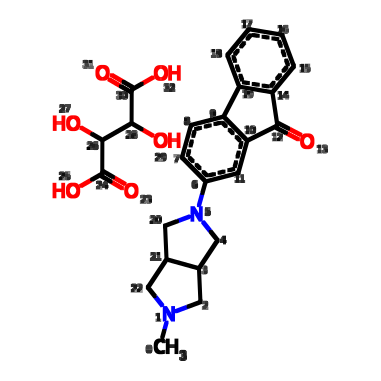 CN1CC2CN(c3ccc4c(c3)C(=O)c3ccccc3-4)CC2C1.O=C(O)C(O)C(O)C(=O)O